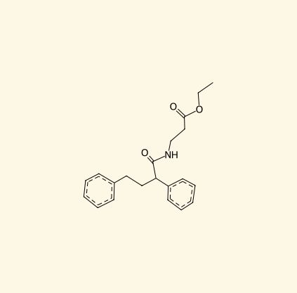 CCOC(=O)CCNC(=O)C(CCc1ccccc1)c1ccccc1